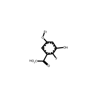 CCOc1cc(O)c(F)c(C(=O)C(=O)O)c1